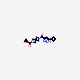 O=C(c1cc(C2CCC2)[nH]n1)N1CC2(C1)CN(C(=O)C1CC1)C2